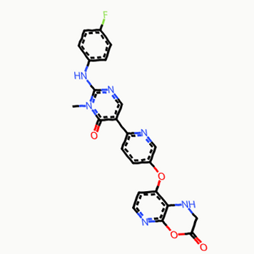 Cn1c(Nc2ccc(F)cc2)ncc(-c2ccc(Oc3ccnc4c3NCC(=O)O4)cn2)c1=O